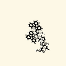 CC(C)C[C@H](NC(=O)[C@@H]1CCCN1C(=O)[C@H](CSC(c1ccccc1)(c1ccccc1)c1ccccc1)NC(=O)[C@@H](N)CC(=O)NC(c1ccccc1)(c1ccccc1)c1ccccc1)C(=O)NCC(=O)O